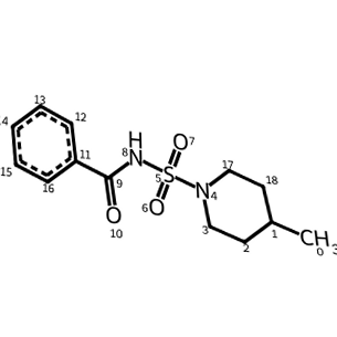 CC1CCN(S(=O)(=O)NC(=O)c2ccccc2)CC1